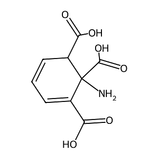 NC1(C(=O)O)C(C(=O)O)=CC=CC1C(=O)O